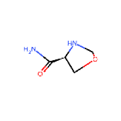 NC(=O)[C@@H]1COCN1